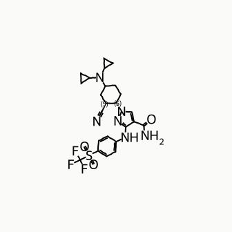 N#C[C@H]1CC(N(C2CC2)C2CC2)CC[C@@H]1n1cc(C(N)=O)c(Nc2ccc(S(=O)(=O)C(F)(F)F)cc2)n1